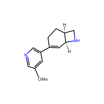 COc1cncc(C2=C[C@@H]3NC[C@@H]3CC2)c1